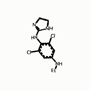 CCNc1cc(Cl)c(NC2=NCCN2)c(Cl)c1